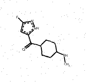 CNC1CCC(C(=O)c2cc(F)n[nH]2)CC1